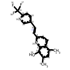 Cc1cc(C)c2ccc(/C=C/c3ccc(C(F)(F)F)nc3)nc2c1O